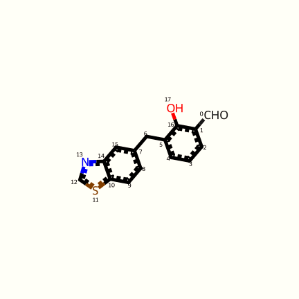 O=Cc1cccc(Cc2ccc3scnc3c2)c1O